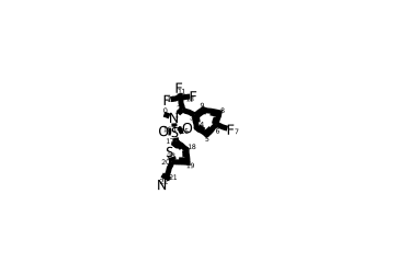 CN(C(c1ccc(F)cc1)C(F)(F)F)S(=O)(=O)c1ccc(C#N)s1